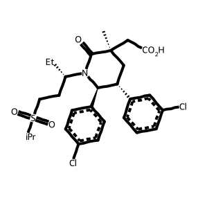 CC[C@@H](CCS(=O)(=O)C(C)C)N1C(=O)[C@@](C)(CC(=O)O)C[C@H](c2cccc(Cl)c2)[C@H]1c1ccc(Cl)cc1